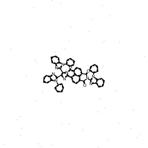 O=C1c2ccc3c(=O)n4c(-c5nc6ccccc6n5-c5ccccc5)c(-c5nc6ccccc6n5-c5ccccc5)nc4c4ccc(c2c34)C(=O)N1c1nc2ccccc2n1-c1ccccc1